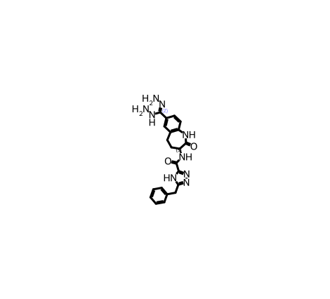 N/N=C(\NN)c1ccc2c(c1)CC[C@H](NC(=O)c1nnc(Cc3ccccc3)[nH]1)C(=O)N2